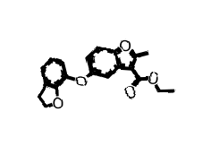 CCOC(=O)c1c(C)oc2ccc(Oc3cccc4c3OCC4)cc12